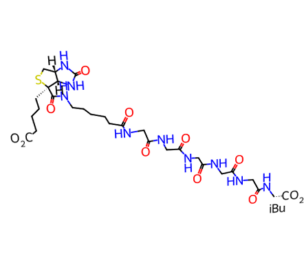 CC[C@H](C)[C@H](NC(=O)CNC(=O)CNC(=O)CNC(=O)CNC(=O)CNC(=O)CCCCCNC(=O)[C@@]1(CCCCC(=O)O)SC[C@@H]2NC(=O)N[C@@H]21)C(=O)O